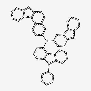 c1ccc(-n2c3ccccc3c3c(N(c4ccc5c(ccc6sc7ccccc7c65)c4)c4ccc5oc6ccccc6c5c4)cccc32)cc1